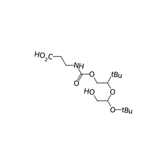 CC(C)(C)OC(CO)OC(COC(=O)NCCC(=O)O)C(C)(C)C